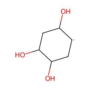 OC1[CH]CC(O)C(O)C1